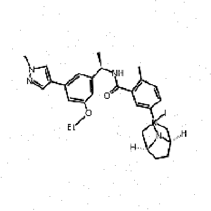 CCOc1cc(-c2cnn(C)c2)cc([C@@H](C)NC(=O)c2cc(N3C[C@H]4CC[C@@H](C3)N4CI)ccc2C)c1